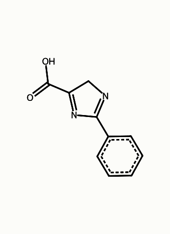 O=C(O)C1=NC(c2ccccc2)=NC1